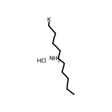 CCCCCCCCC[CH2][K].Cl.N